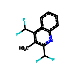 O=C(O)c1c(C(F)F)nc2ccccc2c1C(F)F